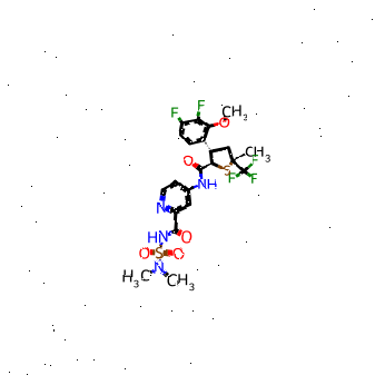 COc1c([C@@H]2C[C@](C)(C(F)(F)F)S[C@H]2C(=O)Nc2ccnc(C(=O)NS(=O)(=O)N(C)C)c2)ccc(F)c1F